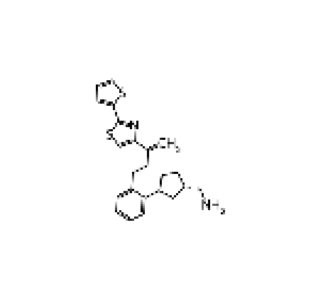 C=C(CCc1ccccc1C1CC[C@H](CN)C1)c1csc(-c2cccs2)n1